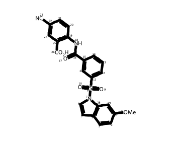 COc1ccc2ccn(S(=O)(=O)c3cccc(C(=O)Nc4ccc(C#N)cc4C(=O)O)c3)c2c1